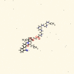 CC/C=C\C/C=C\C/C=C\C/C=C\C/C=C\C/C=C\CC(=O)OCCOC(=O)C[C@H](C(C)C)N(Cc1ccc(-c2ccccc2C#N)cc1)C(=O)CCCC